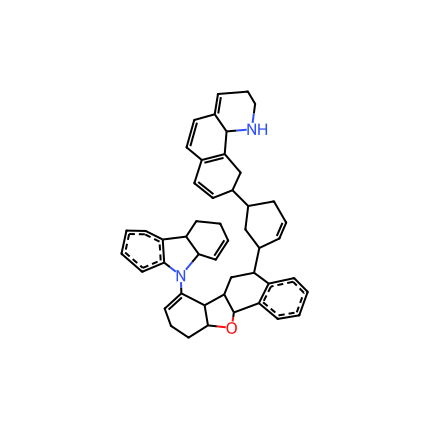 C1=CC2C(CC1)c1ccccc1N2C1=CCCC2OC3c4ccccc4C(C4C=CCC(C5C=CC6=C(C5)C5NCCC=C5C=C6)C4)CC3C12